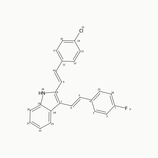 Fc1ccc(/C=C/c2c(/C=C/c3ccc(Cl)cc3)[nH]c3ccccc23)cc1